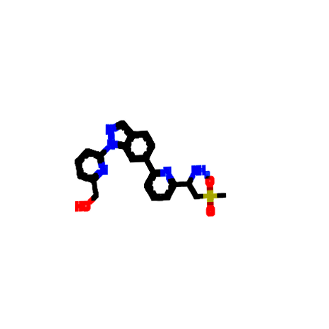 CS(=O)(=O)CC(N)c1cccc(-c2ccc3cnn(-c4cccc(CO)n4)c3c2)n1